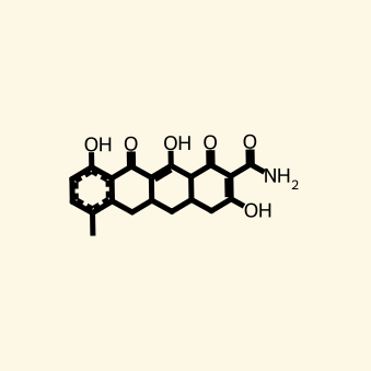 Cc1ccc(O)c2c1CC1CC3CC(O)=C(C(N)=O)C(=O)C3C(O)=C1C2=O